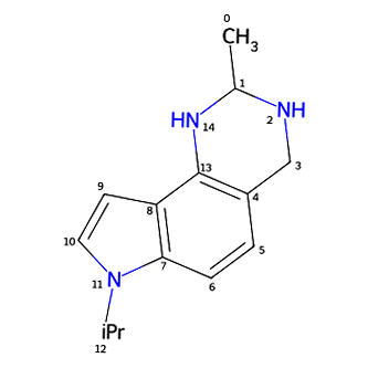 CC1NCc2ccc3c(ccn3C(C)C)c2N1